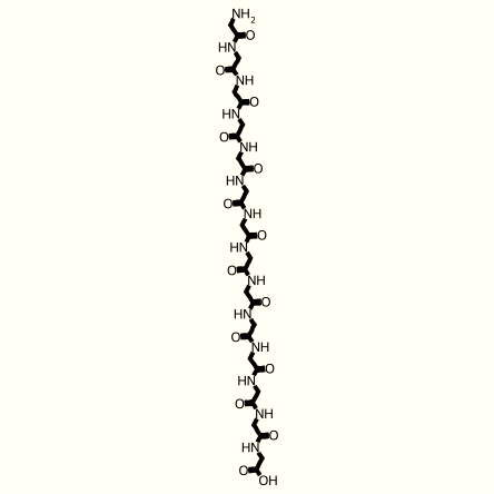 NCC(=O)NCC(=O)NCC(=O)NCC(=O)NCC(=O)NCC(=O)NCC(=O)NCC(=O)NCC(=O)NCC(=O)NCC(=O)NCC(=O)NCC(=O)NCC(=O)O